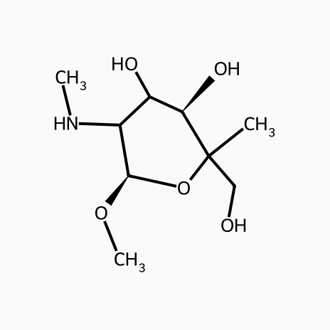 CNC1C(O)[C@@H](O)C(C)(CO)O[C@H]1OC